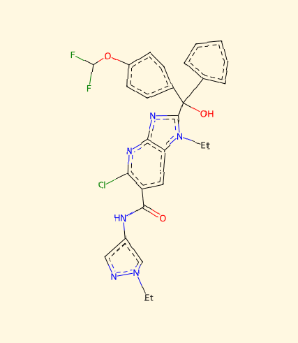 CCn1cc(NC(=O)c2cc3c(nc2Cl)nc(C(O)(c2ccccc2)c2ccc(OC(F)F)cc2)n3CC)cn1